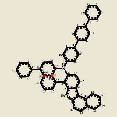 c1ccc(-c2ccc(-c3ccc(N(c4ccc(-c5ccccc5)cc4)c4ccc5c(oc6ccc7ccccc7c65)c4-c4ccccc4)cc3)cc2)cc1